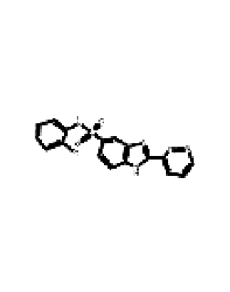 O=S(=O)(Nc1ccccc1Cl)c1ccc2[nH]c(-c3cccnn3)nc2c1